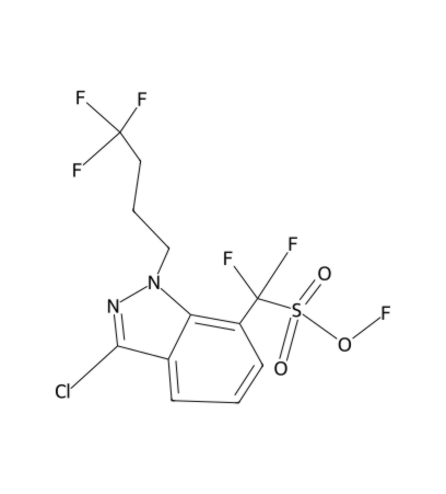 O=S(=O)(OF)C(F)(F)c1cccc2c(Cl)nn(CCCC(F)(F)F)c12